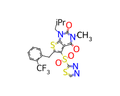 CC(C)Cn1c(=O)n(C)c(=O)c2c(S(=O)(=O)c3nncs3)c(Cc3ccccc3C(F)(F)F)sc21